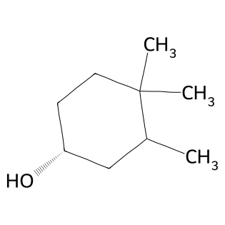 CC1C[C@H](O)CCC1(C)C